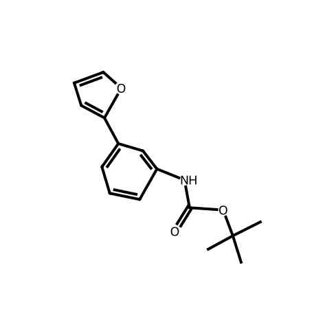 CC(C)(C)OC(=O)Nc1cccc(-c2ccco2)c1